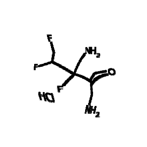 Cl.NC(=O)C(N)(F)C(F)F